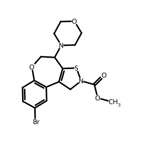 COC(=O)N1CC2=C(S1)C(N1CCOCC1)COc1ccc(Br)cc12